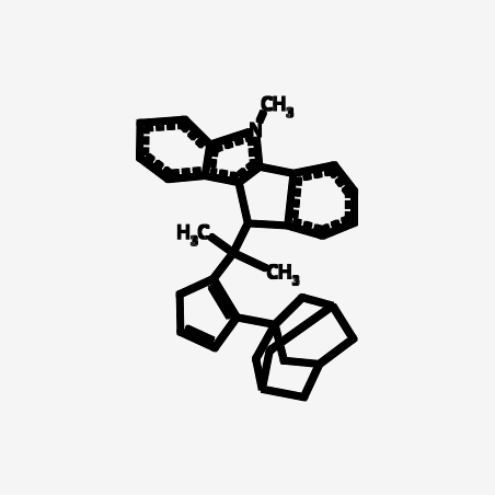 Cn1c2c(c3ccccc31)C(C(C)(C)C1=C(C34CC5CC(CC(C5)C3)C4)C=CC1)c1ccccc1-2